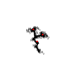 C=CC(=O)OCCOC(=O)NCC1CC2CC(CCNC(=O)OCC(COCCCC[Si](C)(O[Si](C)(C)C)O[Si](C)(C)C)(COCCCC[Si](C)(O[Si](C)(C)C)O[Si](C)(C)C)COC(C)=O)C1C2